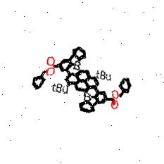 CC(C)(C)c1cc2c3c(cc4c(C(C)(C)C)cc5c6c(cc1c3c46)B1c3ccccc3-c3cc(C(=O)OCc4ccccc4)cc-5c31)B1c3ccccc3-c3cc(C(=O)OCc4ccccc4)cc-2c31